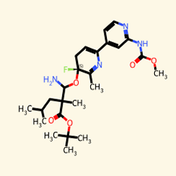 COC(=O)Nc1cc(C2=CC[C@@](F)(OC(N)C(C)(CC(C)C)C(=O)OC(C)(C)C)C(C)=N2)ccn1